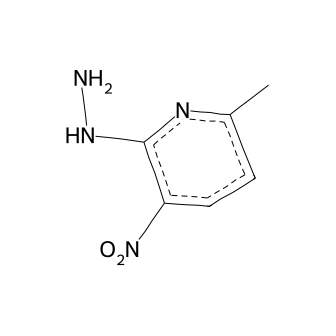 Cc1ccc([N+](=O)[O-])c(NN)n1